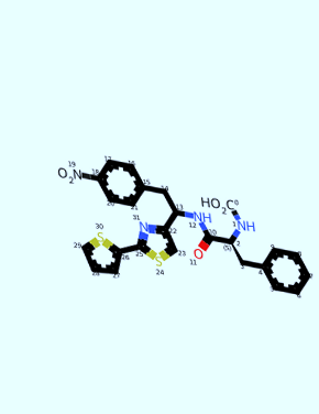 O=C(O)N[C@@H](Cc1ccccc1)C(=O)NC(Cc1ccc([N+](=O)[O-])cc1)c1csc(-c2cccs2)n1